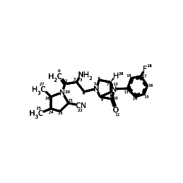 C=C(C(N)CN1C[C@@H]2CC1C(=O)N2c1cccc(F)c1)N1C(C#N)CC(C)C1C